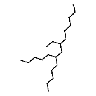 CCCCCCC([CH]C(CCCCC)CCCCC)CC